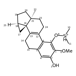 COc1c(O)cc2c(c1O[SiH](C)C)C1=C(CC2)[C@]23C[C@H]2CC[C@@]3(C)CC1